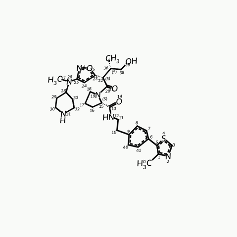 Cc1ncsc1-c1ccc(CCNC(=O)[C@@H]2CCCN2C(=O)[C@H](c2cc(N(C)C3CCNCC3)no2)[C@H](C)CO)cc1